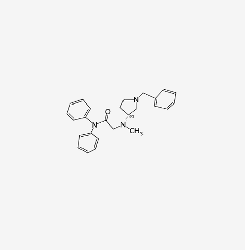 CN(CC(=O)N(c1ccccc1)c1ccccc1)[C@@H]1CCN(Cc2ccccc2)C1